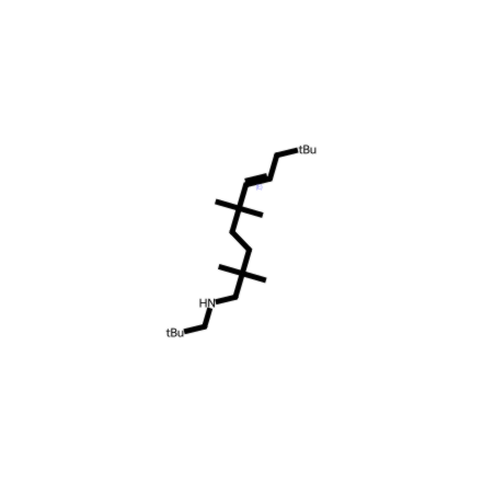 CC(C)(C)C/C=C/C(C)(C)CCC(C)(C)CNCC(C)(C)C